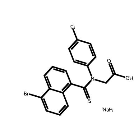 O=C(O)CN(C(=S)c1cccc2c(Br)cccc12)c1ccc(Cl)cc1.[NaH]